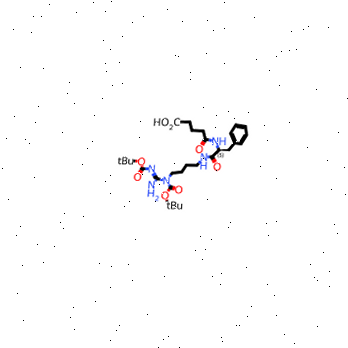 CC(C)(C)OC(=O)N=C(N)N(CCCCNC(=O)[C@H](Cc1ccccc1)NC(=O)CCCC(=O)O)C(=O)OC(C)(C)C